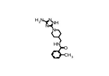 Cc1ccccc1C(=O)NCC1CCN(c2nc(N)n[nH]2)CC1